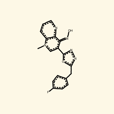 Cn1cc(-c2nnc(Cc3ccc(F)cc3)o2)/c(=N/O)c2ncccc21